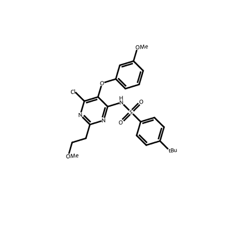 COCCc1nc(Cl)c(Oc2cccc(OC)c2)c(NS(=O)(=O)c2ccc(C(C)(C)C)cc2)n1